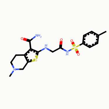 Cc1ccc(S(=O)(=O)NC(=O)CNc2sc3c(c2C(N)=O)CCN(C)C3)cc1